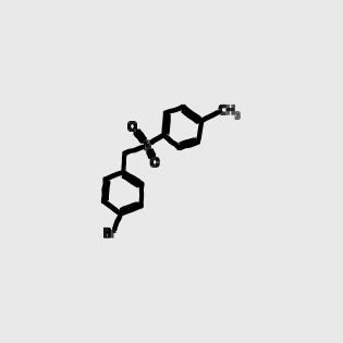 Cc1ccc(S(=O)(=O)Cc2ccc(Br)cc2)cc1